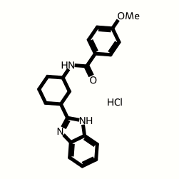 COc1ccc(C(=O)NC2CCCC(c3nc4ccccc4[nH]3)C2)cc1.Cl